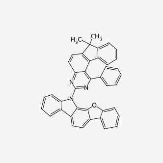 CC1(C)c2ccccc2-c2c1ccc1nc(-n3c4ccccc4c4ccc5c6ccccc6oc5c43)nc(-c3ccccc3)c21